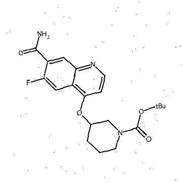 CC(C)(C)OC(=O)N1CCCC(Oc2ccnc3cc(C(N)=O)c(F)cc23)C1